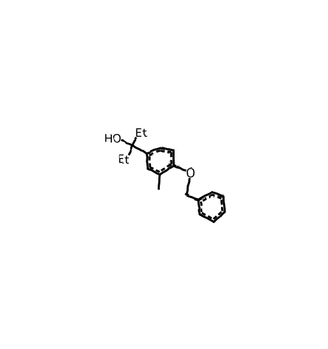 CCC(O)(CC)c1ccc(OCc2ccccc2)c(C)c1